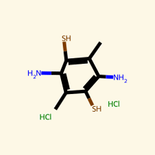 Cc1c(N)c(S)c(C)c(N)c1S.Cl.Cl